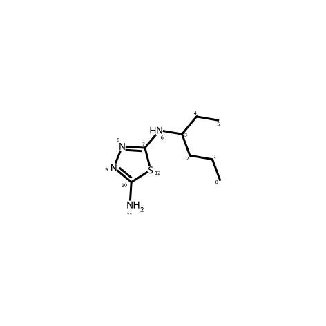 CCCC(CC)Nc1nnc(N)s1